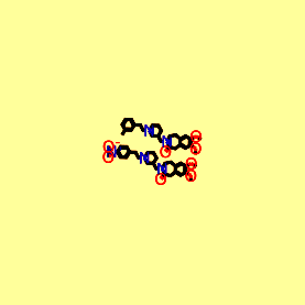 COc1cc2c(cc1OC)CC(=O)N(CC1CCCN(CCc3ccc([N+](=O)[O-])cc3)C1)CC2.COc1cc2c(cc1OC)CC(=O)N(CC1CCCN(CCc3cccc(C)c3)C1)CC2